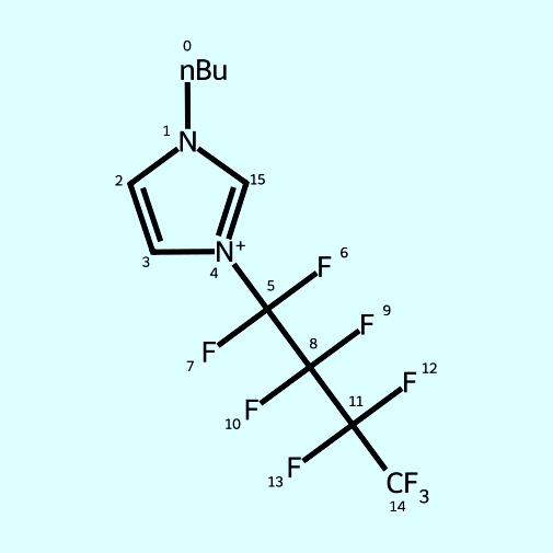 CCCCn1cc[n+](C(F)(F)C(F)(F)C(F)(F)C(F)(F)F)c1